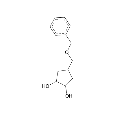 OC1CC(COCc2ccccc2)CC1O